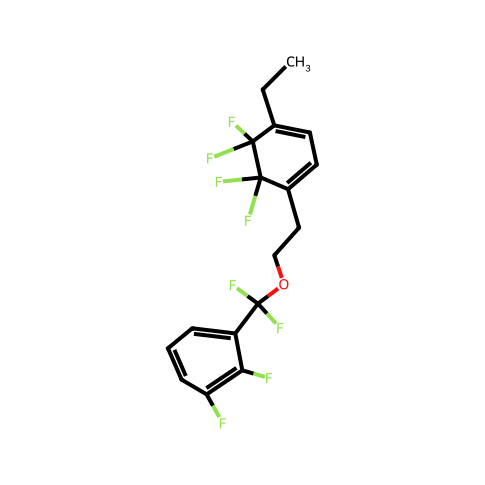 CCC1=CC=C(CCOC(F)(F)c2cccc(F)c2F)C(F)(F)C1(F)F